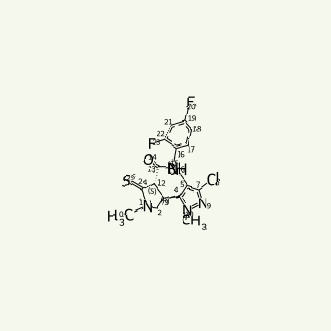 CN1C[C@H](c2c(Br)c(Cl)nn2C)[C@@H](C(=O)Nc2ccc(F)cc2F)C1=S